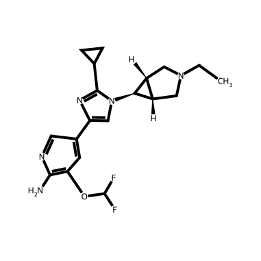 CCN1C[C@@H]2[C@H](C1)[C@H]2n1cc(-c2cnc(N)c(OC(F)F)c2)nc1C1CC1